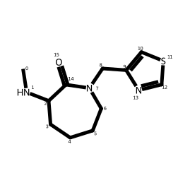 CNC1CCCCN(Cc2cscn2)C1=O